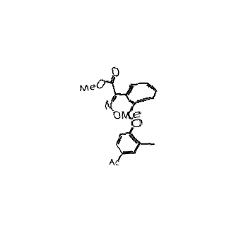 CO/N=C(/C(=O)OC)c1ccccc1COc1ccc(C(C)=O)cc1C